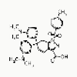 Cc1ccc(S(=O)(=O)n2nc(C(=O)O)c3c2CC(c2cccc(N(C)C)c2)(c2cccc(N(C)C)c2)C=C3)cc1